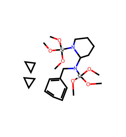 C1CC1.C1CC1.CO[Si](OC)(OC)N1CCCCC1N(Cc1ccccc1)[Si](OC)(OC)OC